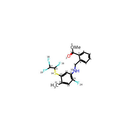 COC(=O)c1ccccc1CNc1cc(SC(F)C(F)F)c(C)cc1F